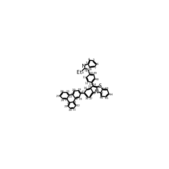 CCc1nc2ccccc2n1-c1ccc(-c2c3cc(-c4ccc5c6ccccc6c6ccccc6c5c4)ccc3n3c2sc2ccccc23)cc1